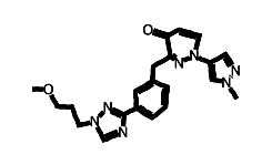 COCCCn1cnc(-c2cccc(Cc3nn(-c4cnn(C)c4)ccc3=O)c2)n1